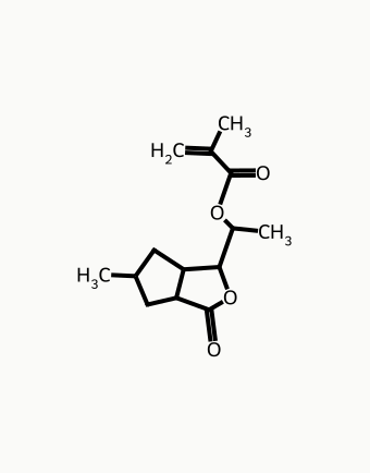 C=C(C)C(=O)OC(C)C1OC(=O)C2CC(C)CC21